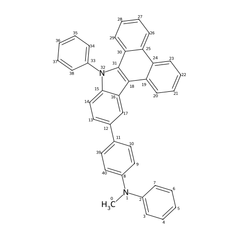 CN(c1ccccc1)c1ccc(-c2ccc3c(c2)c2c4ccccc4c4ccccc4c2n3-c2ccccc2)cc1